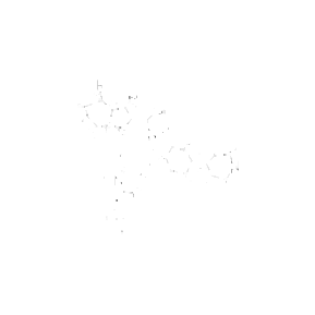 CN(C(=O)OC(C)(C)C)C1CCC(N(Cc2cccc(-c3ccncc3)c2)C(=O)c2sc3c(F)ccc(F)c3c2Cl)CC1